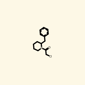 O=C(CCl)N1CCCCC1Cc1ccccc1